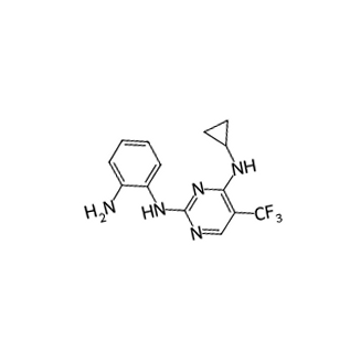 Nc1ccccc1Nc1ncc(C(F)(F)F)c(NC2CC2)n1